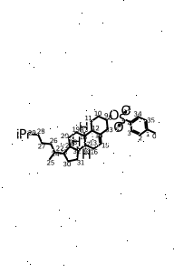 Cc1ccc(S(=O)(=O)O[C@H]2CC[C@@]3(C)C(=CC[C@@H]4[C@@H]3CC[C@]3(C)C(C(C)CCCC(C)C)CC[C@@H]43)C2)cc1